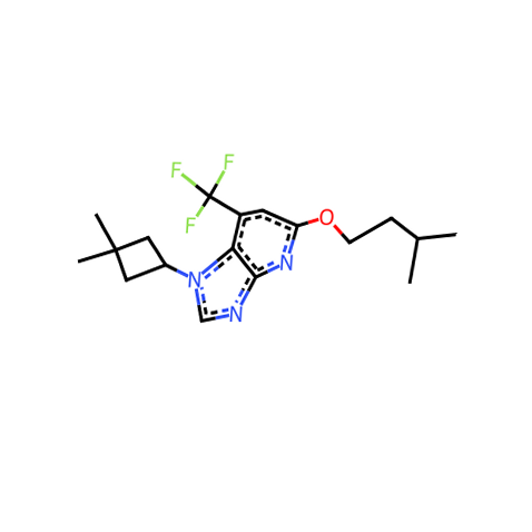 CC(C)CCOc1cc(C(F)(F)F)c2c(ncn2C2CC(C)(C)C2)n1